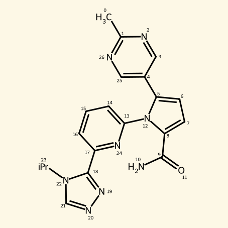 Cc1ncc(-c2ccc(C(N)=O)n2-c2cccc(-c3nncn3C(C)C)n2)cn1